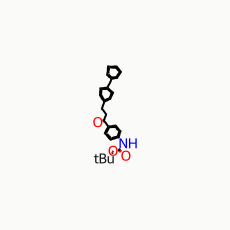 CC(C)(C)OC(=O)Nc1ccc(C(=O)CCc2ccc(-c3ccccc3)cc2)cc1